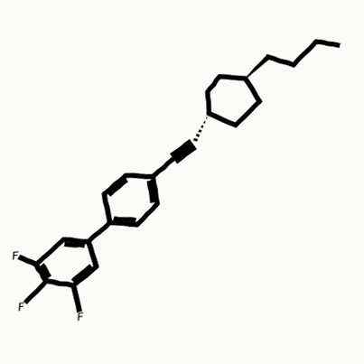 CCCC[C@H]1CC[C@H](C#Cc2ccc(-c3cc(F)c(F)c(F)c3)cc2)CC1